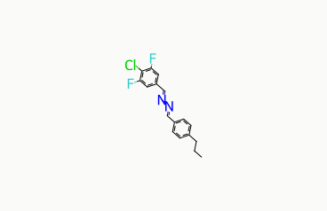 CCCc1ccc(C=NN=Cc2cc(F)c(Cl)c(F)c2)cc1